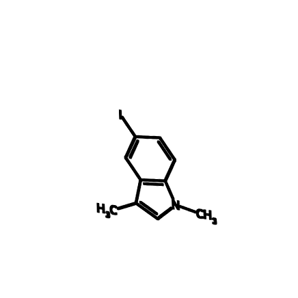 Cc1cn(C)c2ccc(I)cc12